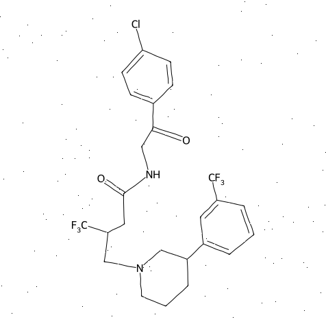 O=C(CC(CN1CCCC(c2cccc(C(F)(F)F)c2)C1)C(F)(F)F)NCC(=O)c1ccc(Cl)cc1